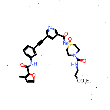 CCOC(=O)CCNC(=O)N1CCS(=O)(=NC(=O)c2cncc(C#Cc3cccc(NC(=O)c4occc4C)c3)c2)CC1